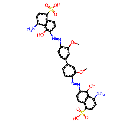 COc1cc(-c2ccc(/N=N/c3ccc4c(S(=O)(=O)O)ccc(N)c4c3O)c(OC)c2)ccc1/N=N/c1ccc2c(S(=O)(=O)O)ccc(N)c2c1O